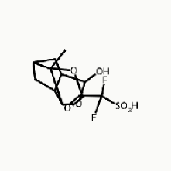 CC1(OC(=O)C(F)(F)S(=O)(=O)O)C2CC3C(O)OC1C3C2